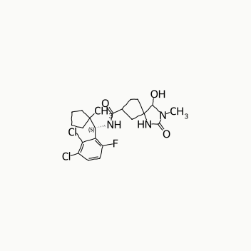 CN1C(=O)NC2(CCC(C(=O)N[C@H](c3c(F)ccc(Cl)c3Cl)C3(C)CCCC3)C2)C1O